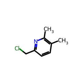 Cc1ccc(CCl)nc1C